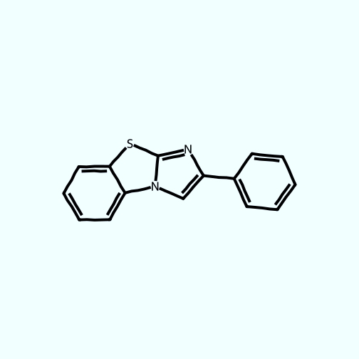 c1ccc(-c2cn3c(n2)sc2ccccc23)cc1